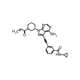 C=CC(=O)N1CCC[C@@H](n2nc(C#Cc3cccc(C(=O)NC4CC4)c3)c3c(N)ncnc32)C1